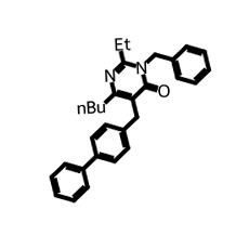 CCCCc1nc(CC)n(Cc2ccccc2)c(=O)c1Cc1ccc(-c2ccccc2)cc1